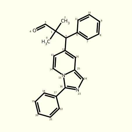 CC(C)(C=O)C(c1ccccc1)c1ccn2c(-c3ccccc3)ncc2c1